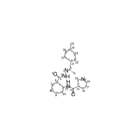 C/C(=N\NC(=O)c1ccccc1NC(=O)c1cccnc1)c1ccc(C)cc1